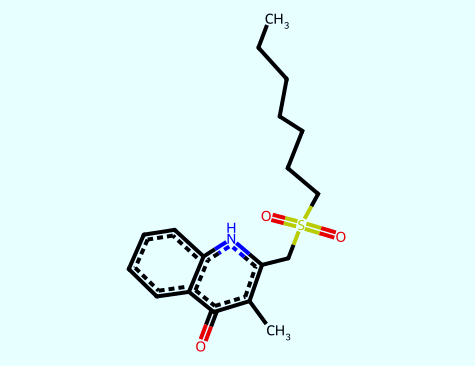 CCCCCCCS(=O)(=O)Cc1[nH]c2ccccc2c(=O)c1C